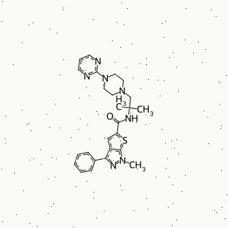 Cn1nc(-c2ccccc2)c2cc(C(=O)NC(C)(C)CN3CCN(c4ncccn4)CC3)sc21